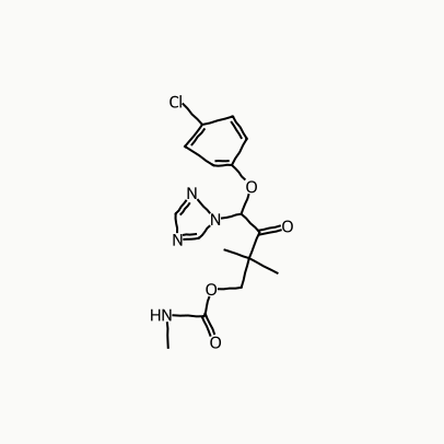 CNC(=O)OCC(C)(C)C(=O)C(Oc1ccc(Cl)cc1)n1cncn1